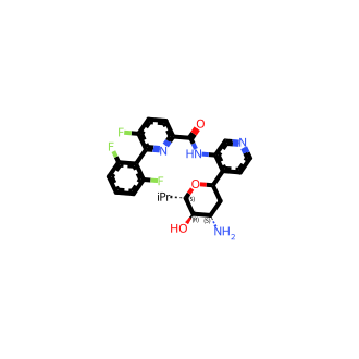 CC(C)[C@@H]1OC(c2ccncc2NC(=O)c2ccc(F)c(-c3c(F)cccc3F)n2)C[C@H](N)[C@H]1O